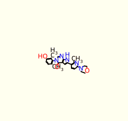 Cc1ccc(O)c(C)c1-n1cnc2[nH]c(-c3ccc(N4CCOCC4)nc3C)cc2c1=O